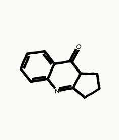 O=C1c2ccccc2N=C2CCCC12